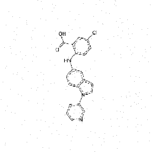 O=C(O)c1cc(Cl)ccc1Nc1ccc2c(ccn2-c2cccnc2)c1